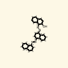 Oc1ccc2ccccc2c1N=Nc1ccc(N=Nc2cccc3ccccc23)c2ccccc12